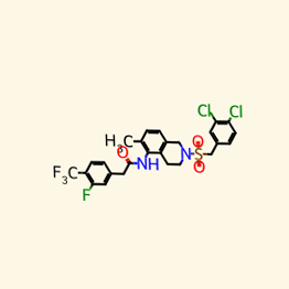 Cc1ccc2c(c1NC(=O)Cc1ccc(C(F)(F)F)c(F)c1)CCN(S(=O)(=O)Cc1ccc(Cl)c(Cl)c1)C2